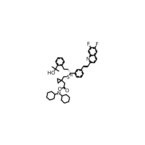 CC(C)(O)c1ccccc1CC[C@@H](SCC1(CC(=O)ON(C2CCCCC2)C2CCCCC2)CC1)c1cccc(C=Cc2ccc3cc(F)c(F)cc3n2)c1